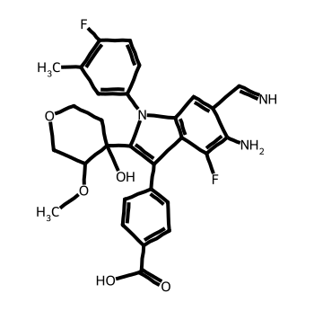 COC1COCCC1(O)c1c(-c2ccc(C(=O)O)cc2)c2c(F)c(N)c(C=N)cc2n1-c1ccc(F)c(C)c1